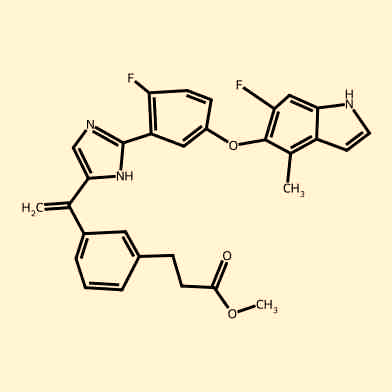 C=C(c1cccc(CCC(=O)OC)c1)c1cnc(-c2cc(Oc3c(F)cc4[nH]ccc4c3C)ccc2F)[nH]1